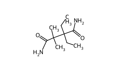 CCC(CC)(C(N)=O)C(C)(C)C(N)=O